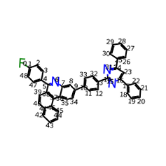 Fc1ccc(-c2nc3cc(-c4ccc(-c5nc(-c6ccccc6)cc(-c6ccccc6)n5)cc4)ccc3c3c2ccc2ccccc23)cc1